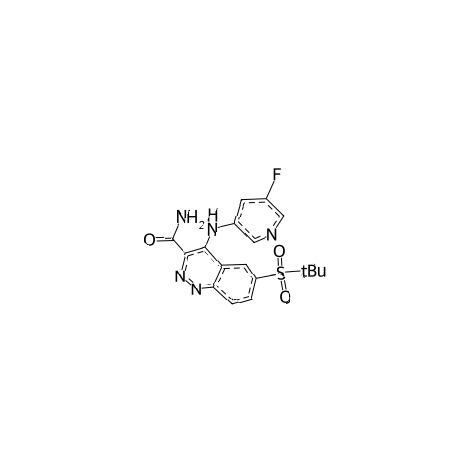 CC(C)(C)S(=O)(=O)c1ccc2nnc(C(N)=O)c(Nc3cncc(F)c3)c2c1